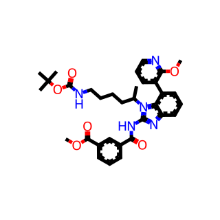 COC(=O)c1cccc(C(=O)Nc2nc3cccc(-c4cccnc4OC)c3n2C(C)CCCCNC(=O)OC(C)(C)C)c1